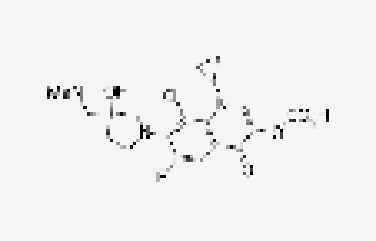 CNCC1(O)CCN(c2c(F)cc3c(=O)c(OC(=O)O)cn(C4CC4)c3c2Cl)C1